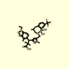 CCn1nnc2c(C)c(C(c3cc(CN4CC(C)Cc5ccc(C(F)(F)F)cc5S4(O)O)n(C)n3)C(C)(C)C(=O)O)ccc21